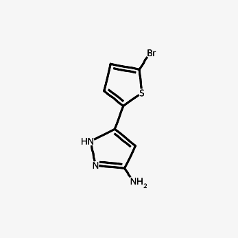 Nc1cc(-c2ccc(Br)s2)[nH]n1